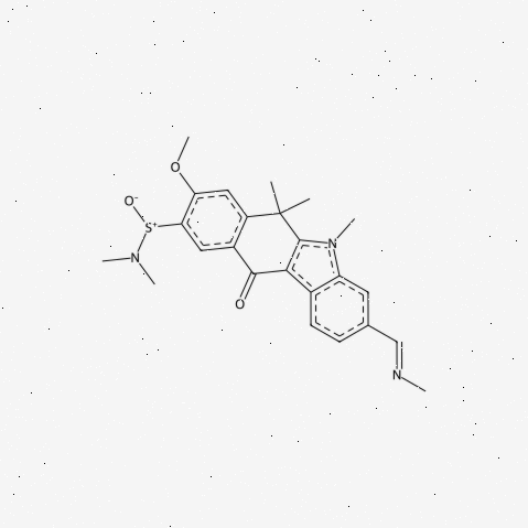 C/N=C/c1ccc2c3c(n(C)c2c1)C(C)(C)c1cc(OC)c([S+]([O-])N(C)C)cc1C3=O